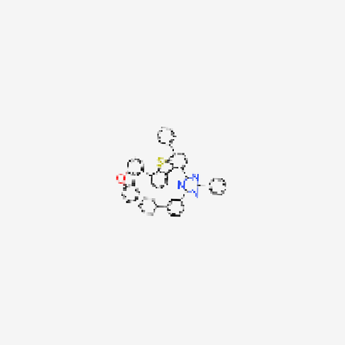 c1ccc(-c2cccc(-c3nc(-c4ccccc4)nc(-c4ccc(-c5ccccc5)c5sc6c(-c7cccc8oc9ccccc9c78)cccc6c45)n3)c2)cc1